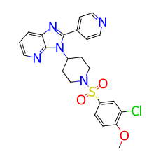 COc1ccc(S(=O)(=O)N2CCC(n3c(-c4ccncc4)nc4cccnc43)CC2)cc1Cl